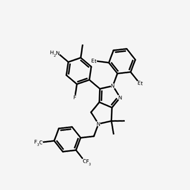 CCc1cccc(CC)c1-n1nc2c(c1-c1cc(C)c(N)cc1F)CN(Cc1ccc(C(F)(F)F)cc1C(F)(F)F)C2(C)C